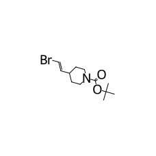 CC(C)(C)OC(=O)N1CCC(/C=C/Br)CC1